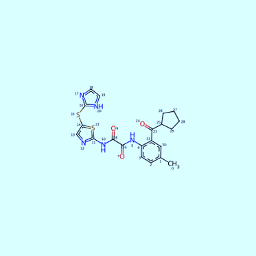 Cc1ccc(NC(=O)C(=O)Nc2ncc(Sc3ncc[nH]3)s2)c(C(=O)C2CCCC2)c1